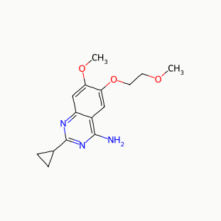 COCCOc1cc2c(N)nc(C3CC3)nc2cc1OC